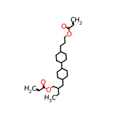 C=CC(=O)OCCCC1CCC(C2CCC(CC(CC)COC(=O)C=C)CC2)CC1